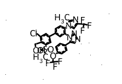 Cc1nc(C(F)(F)F)cn1-c1ccc(-c2cc(Cl)c(CO)c(S(C)(=O)=O)c2)cc1-n1nncc1-c1ccc(OC(F)(F)F)cc1